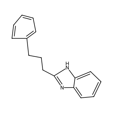 c1ccc(CCCc2nc3ccccc3[nH]2)cc1